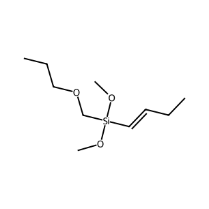 CCC=C[Si](COCCC)(OC)OC